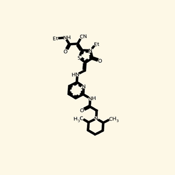 CCNC(=O)C(C#N)=c1sc(=CNc2cccc(NC(=O)CN3C(C)CCCC3C)n2)c(=O)n1CC